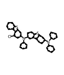 Clc1cc(N(c2ccccc2)c2ccc3sc4cc(N(c5ccccc5)c5ccccc5)ccc4c3c2)cc2sc3ccccc3c12